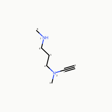 C#CN(C)CCCNC